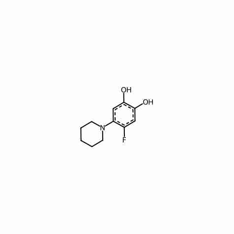 Oc1cc(F)c(N2CCCCC2)cc1O